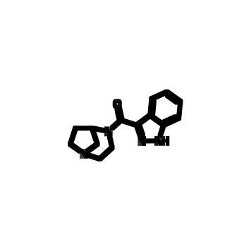 O=C(c1n[nH]c2ccccc12)N1CCN2CCC1C2